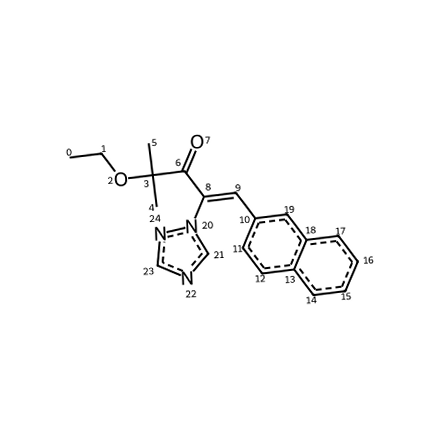 CCOC(C)(C)C(=O)/C(=C/c1ccc2ccccc2c1)n1cncn1